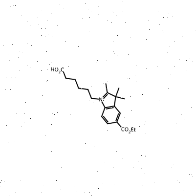 CCOC(=O)c1ccc2c(c1)C(C)(C)C(C)=[N+]2CCCCCC(=O)O